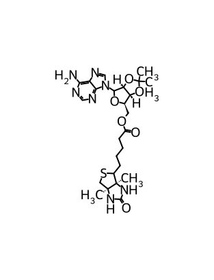 CC1(C)O[C@@H]2[C@@H](COC(=O)CCCCC3SC[C@]4(C)NC(=O)N[C@]34C)OC(n3cnc4c(N)ncnc43)[C@@H]2O1